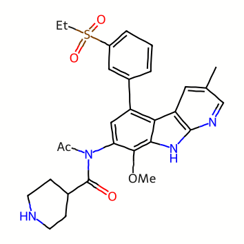 CCS(=O)(=O)c1cccc(-c2cc(N(C(C)=O)C(=O)C3CCNCC3)c(OC)c3[nH]c4ncc(C)cc4c23)c1